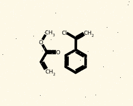 C=C(Cl)c1ccccc1.C=CC(=O)OC